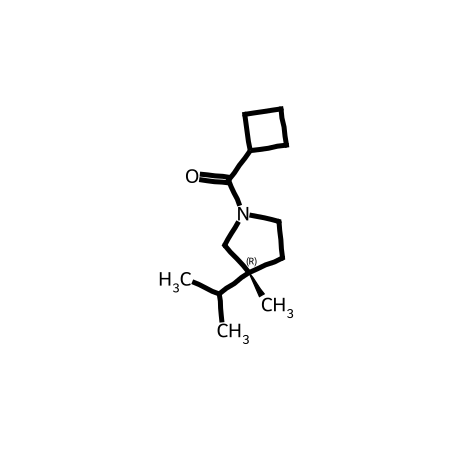 CC(C)[C@@]1(C)CCN(C(=O)C2CCC2)C1